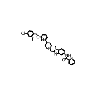 Cn1c(CN2CCC(c3cccc(OCc4ccc(Cl)cc4F)n3)CC2)nc2cc(NC(=O)c3ccccn3)ccc21